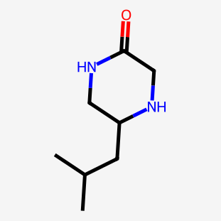 CC(C)CC1CNC(=O)CN1